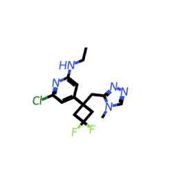 CCNc1cc(C2(Cc3nncn3C)CC(F)(F)C2)cc(Cl)n1